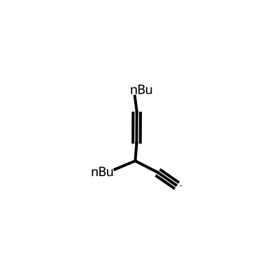 [C]#CC(C#CCCCC)CCCC